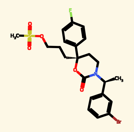 C[C@@H](c1cccc(Br)c1)N1CC[C@](CCCOS(C)(=O)=O)(c2ccc(F)cc2)OC1=O